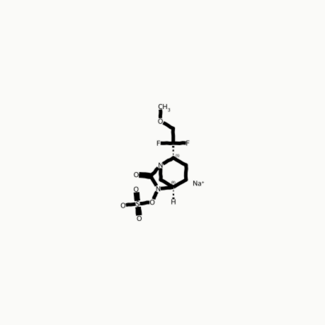 COCC(F)(F)[C@@H]1CC[C@@H]2CN1C(=O)N2OS(=O)(=O)[O-].[Na+]